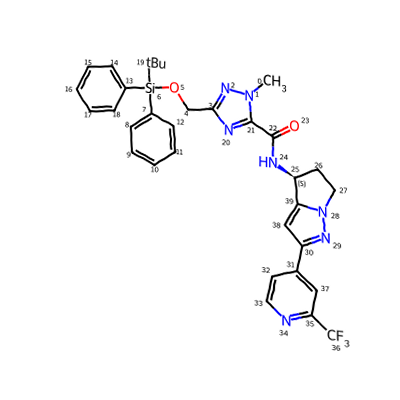 Cn1nc(CO[Si](c2ccccc2)(c2ccccc2)C(C)(C)C)nc1C(=O)N[C@H]1CCn2nc(-c3ccnc(C(F)(F)F)c3)cc21